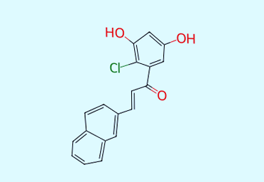 O=C(/C=C/c1ccc2ccccc2c1)c1cc(O)cc(O)c1Cl